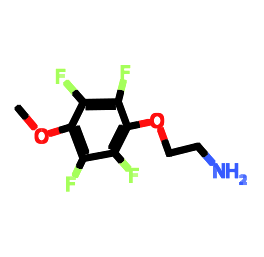 COc1c(F)c(F)c(OCCN)c(F)c1F